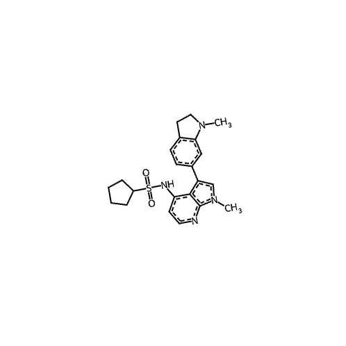 CN1CCc2ccc(-c3cn(C)c4nccc(NS(=O)(=O)C5CCCC5)c34)cc21